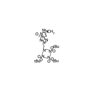 Cn1cnc([N+](=O)[O-])c1Sc1ncnc2c1ncn2CCCN1CCN(C(=O)OC(C)(C)C)CCN(C(=O)OC(C)(C)C)CCN(C(=O)OC(C)(C)C)CC1